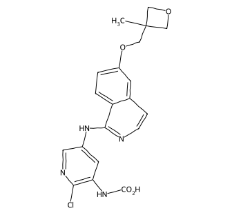 CC1(COc2ccc3c(Nc4cnc(Cl)c(NC(=O)O)c4)nccc3c2)COC1